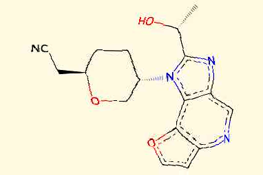 C[C@@H](O)c1nc2cnc3ccoc3c2n1[C@H]1CC[C@H](CC#N)OC1